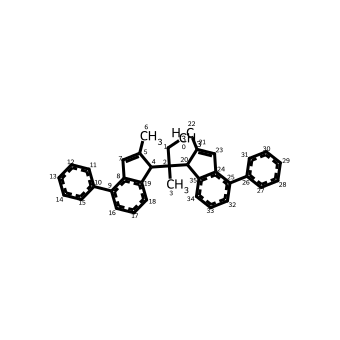 CCC(C)(C1C(C)=Cc2c(-c3ccccc3)cccc21)C1C(C)=Cc2c(-c3ccccc3)cccc21